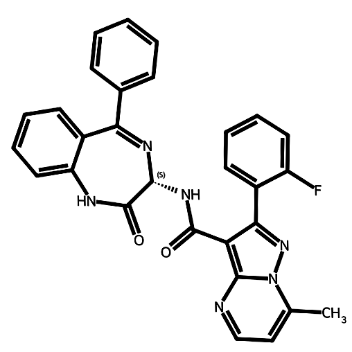 Cc1ccnc2c(C(=O)N[C@H]3N=C(c4ccccc4)c4ccccc4NC3=O)c(-c3ccccc3F)nn12